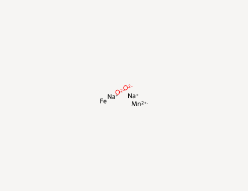 [Fe].[Mn+2].[Na+].[Na+].[O-2].[O-2]